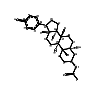 CC(=O)O[C@H]1CC[C@@]2(C)[C@@H](CC[C@@H]3[C@@H]2CC[C@]2(C)[C@@H](c4ccc(=O)oc4)CC[C@@H]32)C1